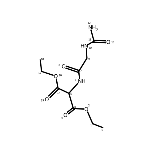 CCOC(=O)C(NC(=O)CNC(N)=O)C(=O)OCC